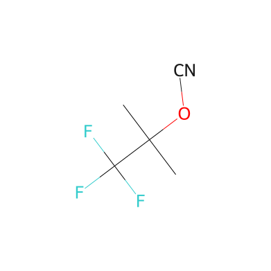 CC(C)(OC#N)C(F)(F)F